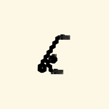 CCCCCCCCCCCCCCCCCCCC(Cc1ccccc1)C(CCCCCCCCCCCCC)n1ccnc1